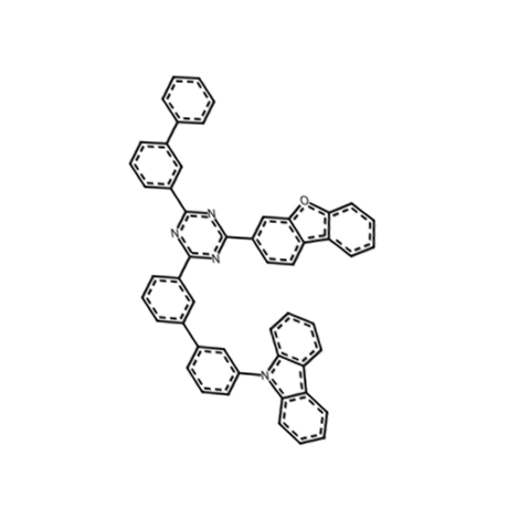 c1ccc(-c2cccc(-c3nc(-c4cccc(-c5cccc(-n6c7ccccc7c7ccccc76)c5)c4)nc(-c4ccc5c(c4)oc4ccccc45)n3)c2)cc1